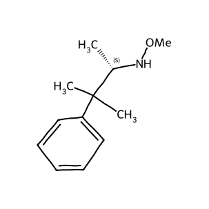 CON[C@@H](C)C(C)(C)c1ccccc1